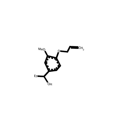 C=CCOc1ccc(C(O)CC)cc1OC